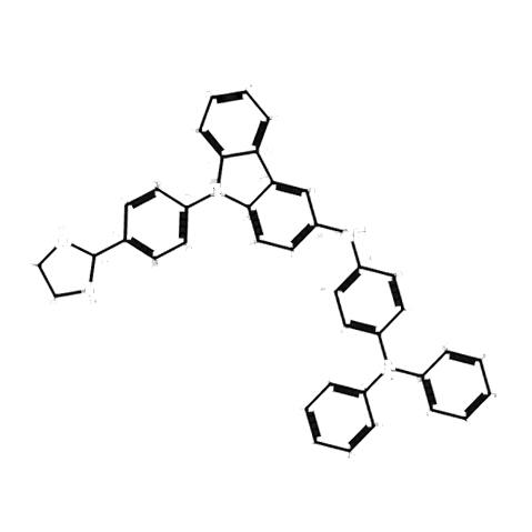 c1ccc(N(c2ccccc2)c2ccc(Nc3ccc4c(c3)c3ccccc3n4-c3ccc(C4OCCO4)cc3)cc2)cc1